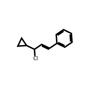 ClC(C=Cc1ccccc1)C1CC1